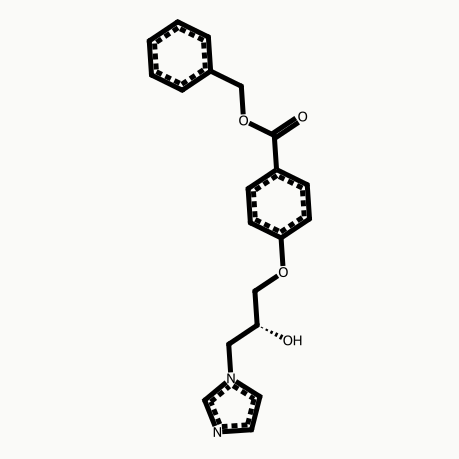 O=C(OCc1ccccc1)c1ccc(OC[C@H](O)Cn2ccnc2)cc1